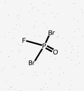 O=P(F)(Br)Br